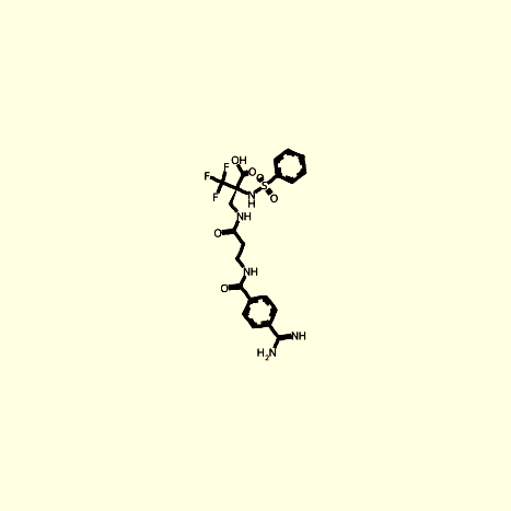 N=C(N)c1ccc(C(=O)NCCC(=O)NC[C@](NS(=O)(=O)c2ccccc2)(C(=O)O)C(F)(F)F)cc1